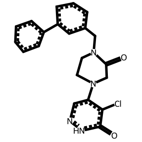 O=C1CN(c2cn[nH]c(=O)c2Cl)CCN1Cc1cccc(-c2ccccc2)c1